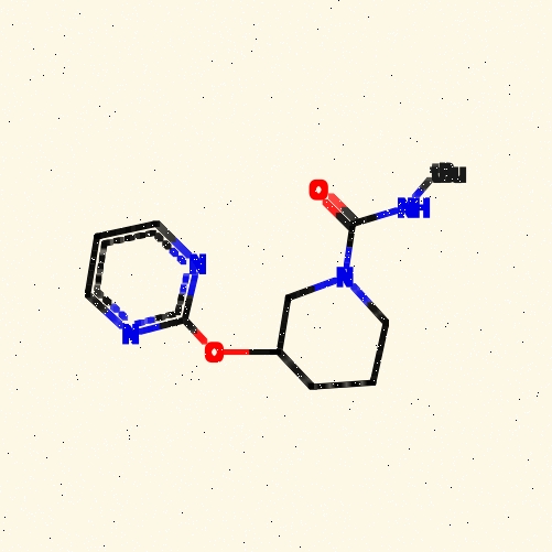 CC(C)(C)NC(=O)N1CCCC(Oc2ncccn2)C1